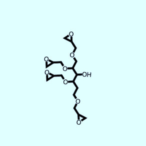 OC(C(CCOCC1CO1)OCC1CO1)C(COCC1CO1)OCC1CO1